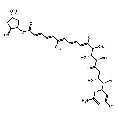 CC/C=C/[C@@H](OC(N)=O)[C@@H](Cl)[C@H](O)CC(=O)[C@@H](O)[C@H](O)[C@H](C)/C(Cl)=C/C=C/C=C(C)/C=C/C=C/C(=O)O[C@@H]1C[C@@H](C(=O)O)C[C@@H]1O